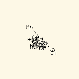 CCCCCCCCCCCCCCCCCCCCCC(=O)O.OC[C@H]1O[C@@H](O[C@H]2[C@H](O)[C@@H](O)[C@H](O)O[C@@H]2CO)[C@H](O)[C@@H](O)[C@H]1O